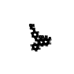 O=C(O)c1c(CN2CCN(CCO)CC2)c(-c2ccccc2)nc2ccc(F)cc12